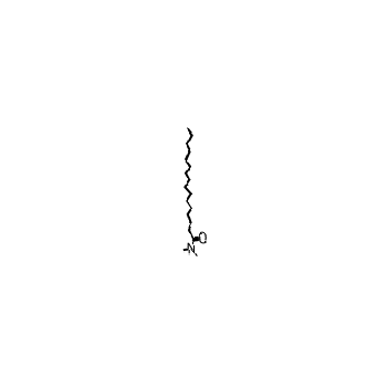 CCCCCCCCCCCCCCCC(=O)N(C)C